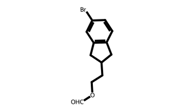 O=COCCC1Cc2ccc(Br)cc2C1